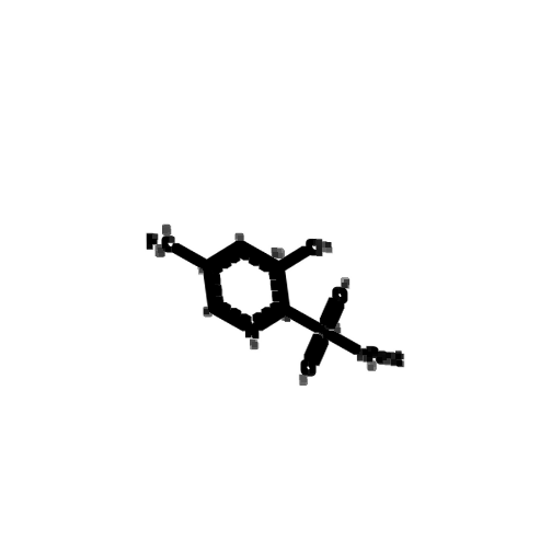 CCCCCS(=O)(=O)c1ncc(C(F)(F)F)cc1Cl